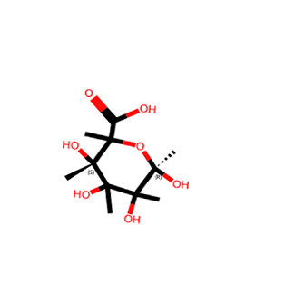 CC1(C(=O)O)O[C@@](C)(O)C(C)(O)C(C)(O)[C@]1(C)O